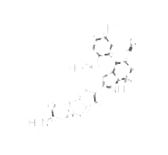 COc1ccc(F)cc1-c1c(C#N)cnc2[nH]c(C3=CC4CN(CC(N)=O)CC4C3)cc12